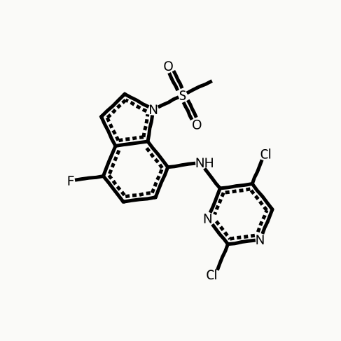 CS(=O)(=O)n1ccc2c(F)ccc(Nc3nc(Cl)ncc3Cl)c21